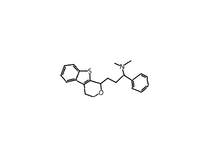 CN(C)C(CCC1OCCc2c1sc1ccccc21)c1ccccc1